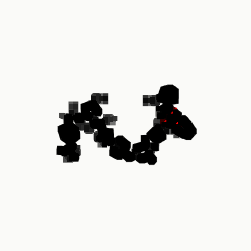 Cc1ncsc1-c1ccc([C@H](C)NC(=O)[C@@H]2C[C@@H](O)CN2C(=O)[C@@H](c2cc(N3CCC(CN4CC(C)N(C[C@H]5C[C@H](Oc6cc(N7C8CCC7CN(c7cc(-c9ccccc9O)nnc7N)C8)ccn6)C5)C(C)C4)CC3)no2)C(C)C)cc1